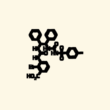 CCc1c(NC(=O)NC(c2ccccc2)C(NC(=O)NS(=O)(=O)c2ccc(C)cc2)c2ccccc2)cccc1C(=O)O